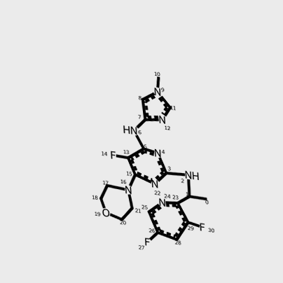 CC(Nc1nc(Nc2cn(C)cn2)c(F)c(N2CCOCC2)n1)c1ncc(F)cc1F